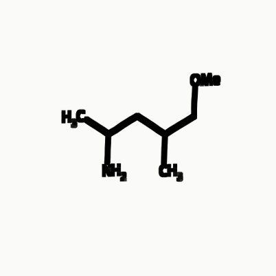 COCC(C)CC(C)N